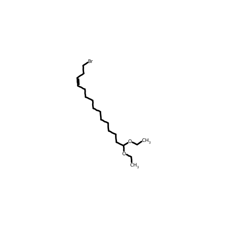 CCOC(CCCCCCCCCC/C=C\CCBr)OCC